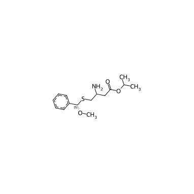 CO[C@@H](SCC(N)CC(=O)OC(C)C)c1ccccc1